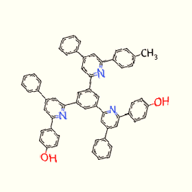 Cc1ccc(-c2cc(-c3ccccc3)cc(-c3cc(-c4cc(-c5ccccc5)cc(-c5ccc(O)cc5)n4)cc(-c4cc(-c5ccccc5)cc(-c5ccc(O)cc5)n4)c3)n2)cc1